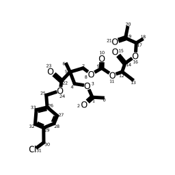 CC(=O)OCC(C)(COC(=O)OC(C)C(=O)OC(C)C(C)=O)C(=O)OCc1ccc(CCl)cc1